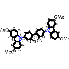 COc1ccc2c(c1)c1cc(OC)ccc1n2-c1ccc(-c2ccc(-n3c4ccc(OC)cc4c4cc(OC)ccc43)cc2C#N)c(C#N)c1